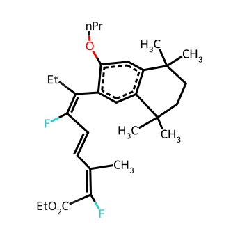 CCCOc1cc2c(cc1\C(CC)=C(F)/C=C/C(C)=C(/F)C(=O)OCC)C(C)(C)CCC2(C)C